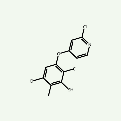 Cc1c(Cl)cc(Oc2ccnc(Cl)c2)c(Cl)c1S